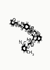 Cc1cccc(C)c1OCC(=O)N[C@@H](Cc1ccccc1)[C@H](O)CN(CC(C)C)S(=O)(=O)c1ccc2nc(NCC3CCCO3)sc2c1